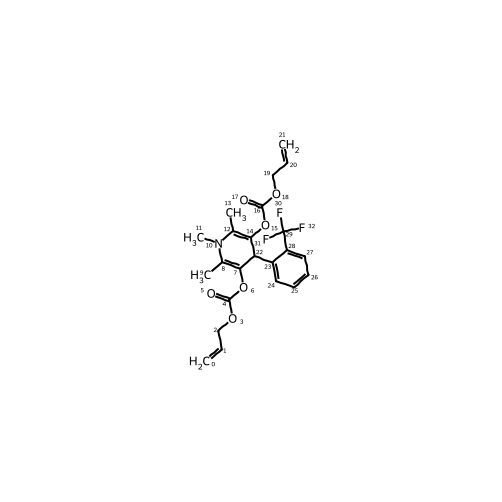 C=CCOC(=O)OC1=C(C)N(C)C(C)=C(OC(=O)OCC=C)C1c1ccccc1C(F)(F)F